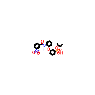 CCC(C)OP(=O)(O)c1cccc(Oc2ccccc2NC(=O)c2cccc([N+](=O)[O-])c2)c1